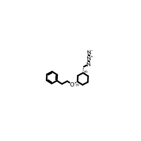 [N-]=[N+]=NC[C@@H]1CCC[C@H](OCCc2ccccc2)C1